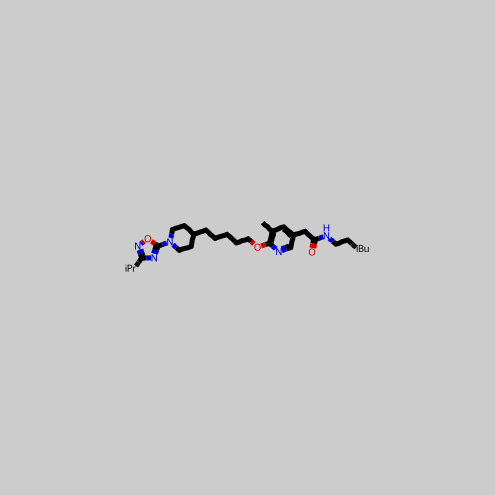 CCC(C)CCNC(=O)Cc1cnc(OCCCCCC2CCN(c3nc(C(C)C)no3)CC2)c(C)c1